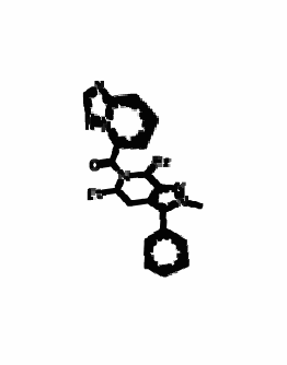 CCC1Cc2c(nn(C)c2-c2ccccc2)C(CC)N1C(=O)c1cccc2ncnn12